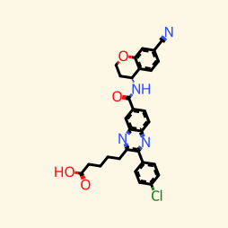 N#Cc1ccc2c(c1)OCC[C@H]2NC(=O)c1ccc2nc(-c3ccc(Cl)cc3)c(CCCCC(=O)O)nc2c1